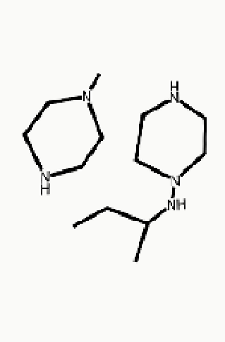 CCC(C)NN1CCNCC1.CN1CCNCC1